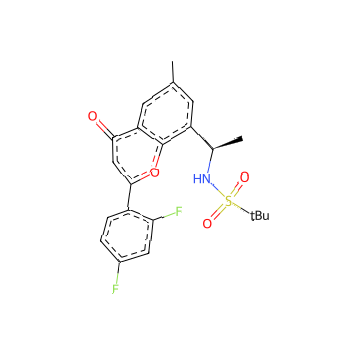 Cc1cc([C@@H](C)NS(=O)(=O)C(C)(C)C)c2oc(-c3ccc(F)cc3F)cc(=O)c2c1